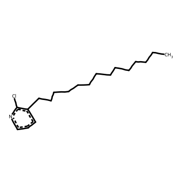 CCCCCCCCCCCCCCc1cccnc1Cl